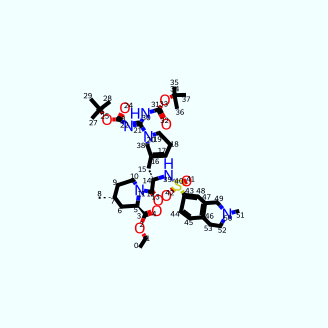 CCOC(=O)[C@H]1C[C@H](C)CCN1C(=O)[C@H](CC1=CCCN(C(=NC(=O)OC(C)(C)C)NC(=O)OC(C)(C)C)C1)NS(=O)(=O)c1ccc2c(c1)CN(C)CC2